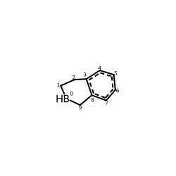 B1CCc2ccccc2C1